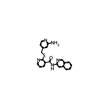 Nc1cc(CSc2ncccc2C(=O)Nc2cc3ccccc3cn2)ccn1